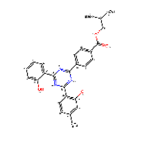 CCCCCCCCC(CCCCCC)COC(=O)c1ccc(-c2nc(-c3ccccc3O)nc(-c3ccc(C)cc3O)n2)cc1